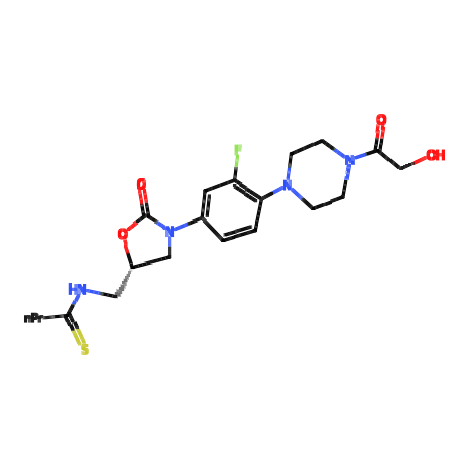 CCCC(=S)NC[C@H]1CN(c2ccc(N3CCN(C(=O)CO)CC3)c(F)c2)C(=O)O1